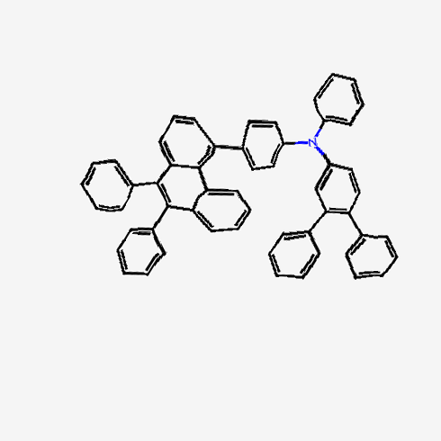 c1ccc(-c2ccc(N(c3ccccc3)c3ccc(-c4cccc5c(-c6ccccc6)c(-c6ccccc6)c6ccccc6c45)cc3)cc2-c2ccccc2)cc1